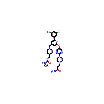 CNC(=O)NCC1CCN(Cc2cc(Oc3cnc(N4CCN(CCC(N)=O)CC4)nc3)nc(-c3cc(Cl)cc(Cl)c3)c2)CC1